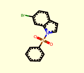 O=S(=O)(c1ccccc1)n1ccc2ccc(Br)cc21